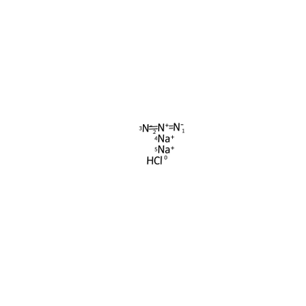 Cl.[N-]=[N+]=[N-].[Na+].[Na+]